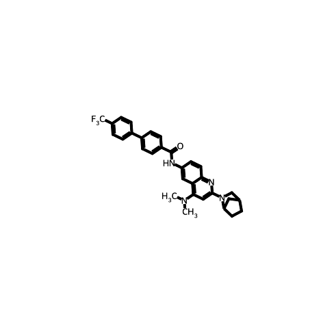 CN(C)c1cc(N2CC3CCC2C3)nc2ccc(NC(=O)c3ccc(-c4ccc(C(F)(F)F)cc4)cc3)cc12